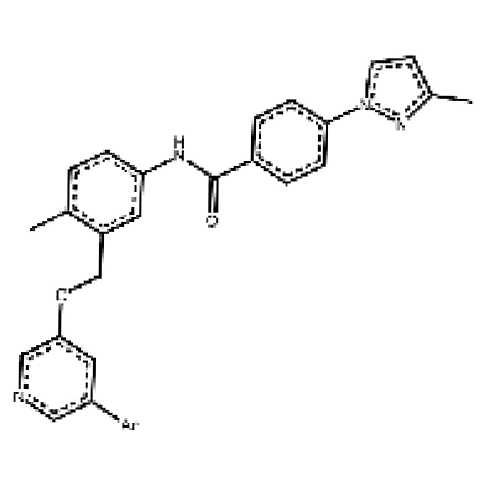 CC(=O)c1cncc(OCc2cc(NC(=O)c3ccc(-n4ccc(C)n4)cc3)ccc2C)c1